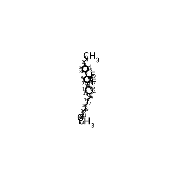 CCCc1ccc(-c2ccc(C3CCC(CCCCCCCOC)CC3)c(F)c2F)cc1